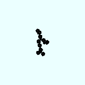 CC1(C)c2ccccc2-c2ccc(N(c3ccc(-c4ccc5ccccc5c4)cc3)c3cccc(-c4ccc(-c5ccc6c(c5)c5ccccc5n6-c5ccccc5)cc4)c3)cc21